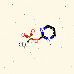 O=S(=O)(Oc1ncccn1)C(Cl)(Cl)Cl